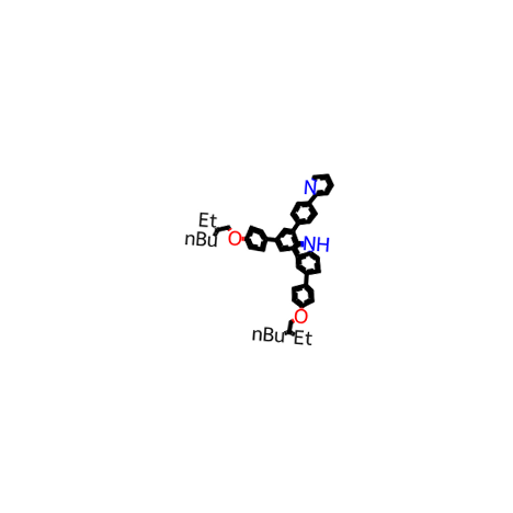 CCCCC(CC)COc1ccc(-c2ccc3[nH]c4c(-c5ccc(-c6ccccn6)cc5)cc(-c5ccc(OCC(CC)CCCC)cc5)cc4c3c2)cc1